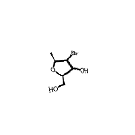 C[C@@H]1O[C@H](CO)C(O)C1Br